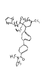 CC(C)CC(c1ccc(-c2ccc(C(=O)N(C)C)cc2)cc1)C(C)(C)C(=O)Nc1nccs1